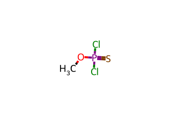 COP(=S)(Cl)Cl